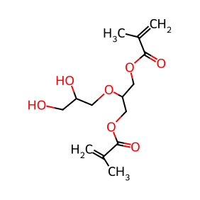 C=C(C)C(=O)OCC(COC(=O)C(=C)C)OCC(O)CO